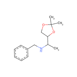 CC(NCc1ccccc1)C1COC(C)(C)O1